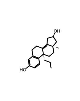 CCC[C@@]12CC[C@]3(C)C[C@H](O)CC3=C1CCc1cc(O)ccc12